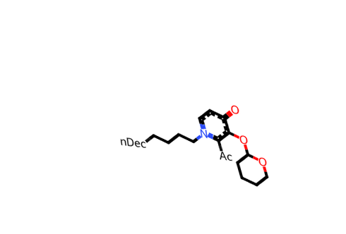 CCCCCCCCCCCCCCn1ccc(=O)c(OC2CCCCO2)c1C(C)=O